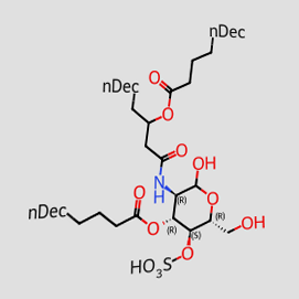 CCCCCCCCCCCCCC(=O)OC(CCCCCCCCCCC)CC(=O)N[C@H]1C(O)O[C@H](CO)[C@@H](OS(=O)(=O)O)[C@@H]1OC(=O)CCCCCCCCCCCCC